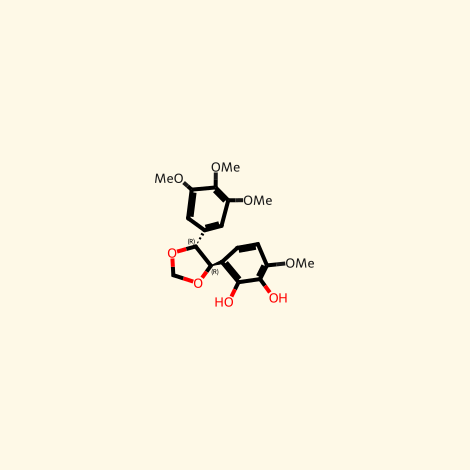 COc1ccc([C@H]2OCO[C@@H]2c2cc(OC)c(OC)c(OC)c2)c(O)c1O